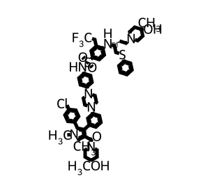 Cc1c(C(=O)N2CCC(C)(O)CC2)c(-c2cccc(N3CCN(c4ccc(NS(=O)(=O)c5ccc(N[C@H](CCN6CCC(C)(O)CC6)CSc6ccccc6)c(CC(F)(F)F)c5)cc4)CC3)c2)c(-c2ccc(Cl)cc2)n1C